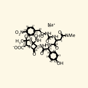 CNC(=O)CC(NC(=O)NOCc1ccc([N+](=O)[O-])cc1)C(=O)NC(C(=O)N[C@@H]1C(=O)N2[C@@H](C(=O)[O-])C(C)(C)SC12NC=O)c1ccc(O)cc1.[Na+]